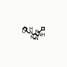 c1coc(CNc2ncnc3[nH]c(C4CCC4)nc23)c1